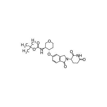 CC(C)(C)OC(=O)N[C@H]1COCC[C@@H]1Oc1ccc2c(c1)CN(C1CCC(=O)NC1=O)C2=O